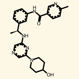 Cc1ccc(C(=O)Nc2cccc([C@H](C)Nc3cncc(N4CCC(O)CC4)n3)c2)cn1